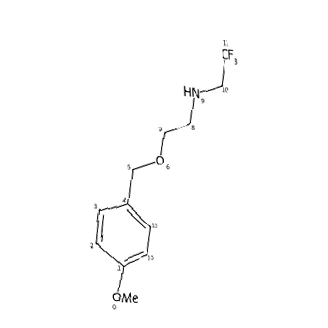 COc1ccc(COCCNCC(F)(F)F)cc1